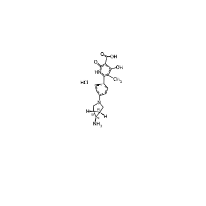 Cc1c(-c2ccc(N3C[C@@H]4[C@@H](N)[C@@H]4C3)cc2)[nH]c(=O)c(C(=O)O)c1O.Cl